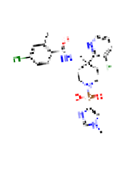 Cc1cc(Cl)ccc1C(=O)NCC1(c2ncccc2F)CCN(S(=O)(=O)c2cn(C)cn2)CC1